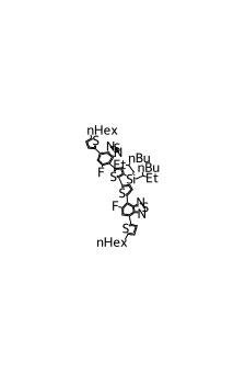 CCCCCCc1ccc(-c2cc(F)c(-c3cc4c(s3)-c3sc(-c5c(F)cc(-c6ccc(CCCCCC)s6)c6nsnc56)cc3[Si]4(CC(CC)CCCC)CC(CC)CCCC)c3nsnc23)s1